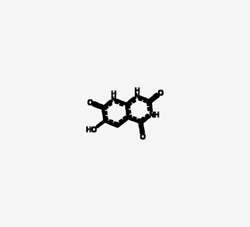 O=c1[nH]c(=O)c2cc(O)c(=O)[nH]c2[nH]1